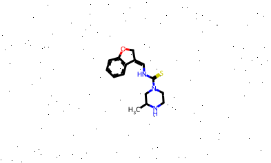 CC1CN(C(=S)N/C=C2/COc3ccccc32)CCN1